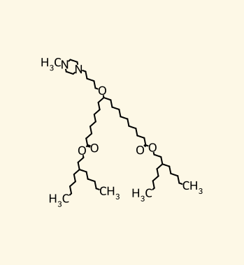 CCCCCC(CCCCC)CCOC(=O)CCCCCCCCCC(CCCCCCCC(=O)OCCC(CCCCC)CCCCC)OCCCCN1CCN(C)CC1